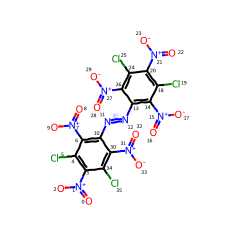 O=[N+]([O-])c1c(Cl)c([N+](=O)[O-])c(/N=N/c2c([N+](=O)[O-])c(Cl)c([N+](=O)[O-])c(Cl)c2[N+](=O)[O-])c([N+](=O)[O-])c1Cl